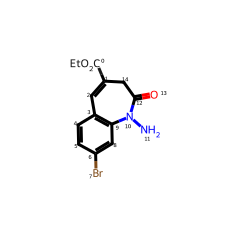 CCOC(=O)C1=Cc2ccc(Br)cc2N(N)C(=O)C1